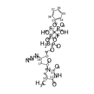 BP(=O)(OC[C@H]1O[C@@H](n2cc(C)c(=O)[nH]c2=O)C[C@H]1N=[N+]=[N-])OP(=O)(O)C(F)(F)P(=O)(O)Oc1ccccc1